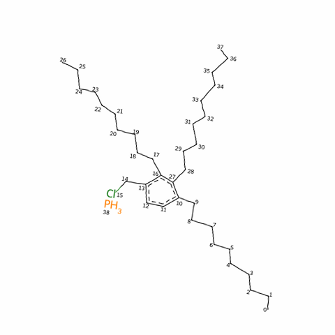 CCCCCCCCCCc1ccc(CCl)c(CCCCCCCCCC)c1CCCCCCCCCC.P